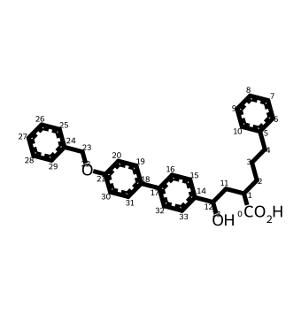 O=C(O)C(CCCc1ccccc1)CC(O)c1ccc(-c2ccc(OCc3ccccc3)cc2)cc1